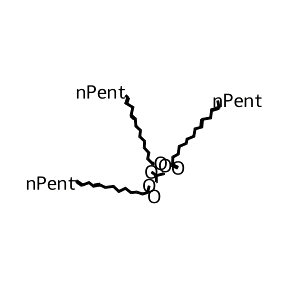 CCCCCC=CCC=CCCCCCCCC(=O)OCC(COC(=O)CCCCCCCC=CCC=CCCCCC)OC(=O)CCCCCCCC=CCC=CCCCCC